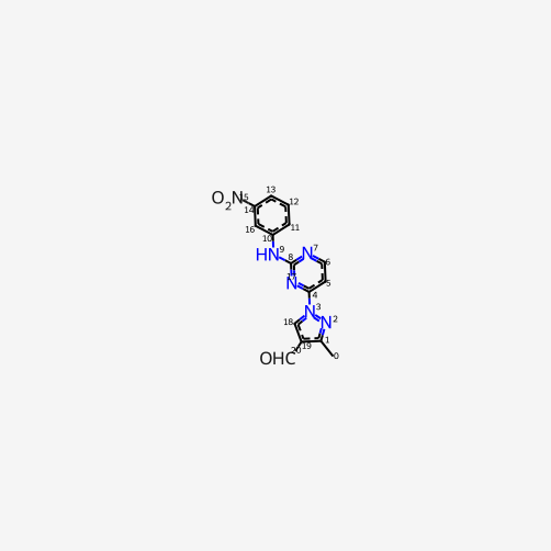 Cc1nn(-c2ccnc(Nc3cccc([N+](=O)[O-])c3)n2)cc1C=O